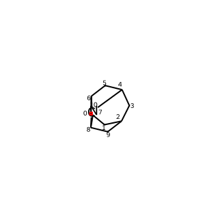 C1CC2CC3CC1CC(C2)[N]3